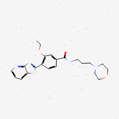 CCOc1cc(C(=O)NCCCN2CCOCC2)ccc1-c1nc2ncccc2[nH]1